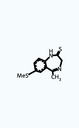 CSc1ccc2c(c1)C(C)=NCC(=S)N2